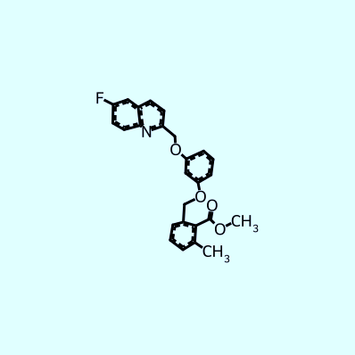 COC(=O)c1c(C)cccc1COc1cccc(OCc2ccc3cc(F)ccc3n2)c1